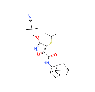 CC(C)Sc1c(OCC(C)(C)C#N)noc1C(=O)NC1C2CC3CC(C2)CC1C3